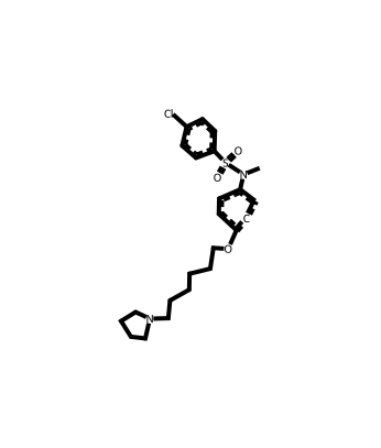 CN(c1ccc(OCCCCCCN2CCCC2)cc1)S(=O)(=O)c1ccc(Cl)cc1